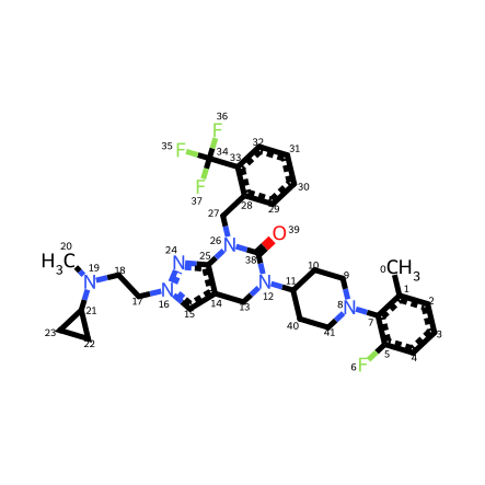 Cc1cccc(F)c1N1CCC(N2Cc3cn(CCN(C)C4CC4)nc3N(Cc3ccccc3C(F)(F)F)C2=O)CC1